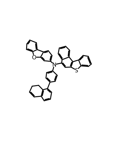 C1=Cc2cccc(-c3ccc(N(c4ccc5c(c4)oc4ccccc45)c4cc5sc6ccccc6c5c5ccccc45)cc3)c2CC1